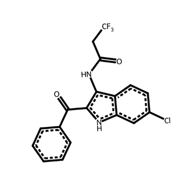 O=C(CC(F)(F)F)Nc1c(C(=O)c2ccccc2)[nH]c2cc(Cl)ccc12